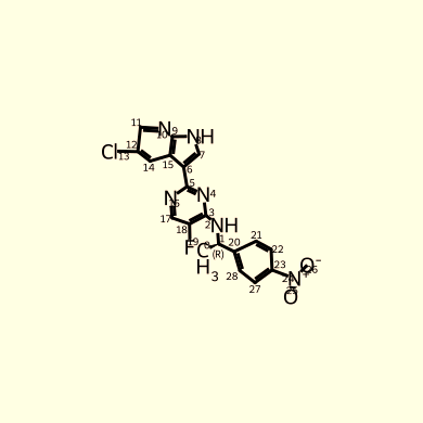 C[C@@H](Nc1nc(-c2c[nH]c3ncc(Cl)cc23)ncc1F)c1ccc([N+](=O)[O-])cc1